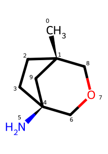 C[C@@]12CC[C@@](N)(COC1)C2